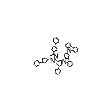 c1ccc(-c2ccc(-c3cc(-c4ccc(-c5ccccc5)cc4)nc(-c4cc(-c5ccccc5)cc(-n5c6ccccc6c6cc(-n7c8ccccc8c8ccccc87)ccc65)c4)n3)cc2)cc1